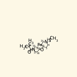 CSCN1CCC(OC2CCN(C(=O)C(C)C)CC2)C(F)C1